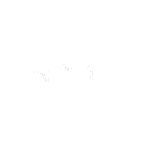 CCCCNC(=O)CCCCNC(=O)c1ccc(B(O)O)cc1